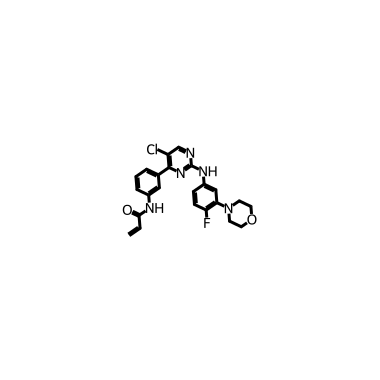 C=CC(=O)Nc1cccc(-c2nc(Nc3ccc(F)c(N4CCOCC4)c3)ncc2Cl)c1